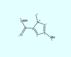 COC(=O)c1cc(C(C)(C)C)cn1C